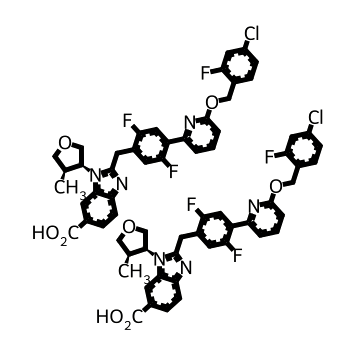 C[C@H]1COC[C@H]1n1c(Cc2cc(F)c(-c3cccc(OCc4ccc(Cl)cc4F)n3)cc2F)nc2ccc(C(=O)O)cc21.C[C@H]1COC[C@H]1n1c(Cc2cc(F)c(-c3cccc(OCc4ccc(Cl)cc4F)n3)cc2F)nc2ccc(C(=O)O)cc21